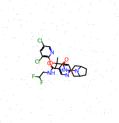 CC(C)(Oc1ncc(Cl)cc1Cl)C(=O)NC1CC2CCC(C1)N2c1ccc(C(=O)NCC(F)F)cn1